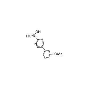 COc1cccc(-c2ccc(B(O)O)nc2)c1